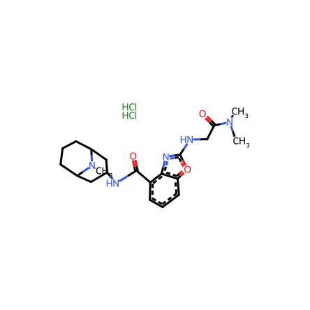 CN(C)C(=O)CNc1nc2c(C(=O)NC3CC4CCCC(C3)N4C)cccc2o1.Cl.Cl